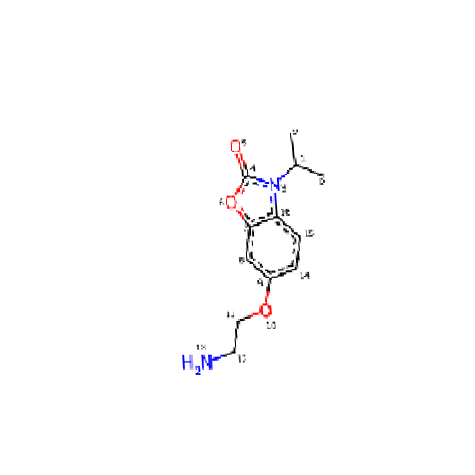 CC(C)n1c(=O)oc2cc(OCCN)ccc21